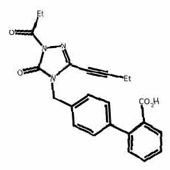 CCC#Cc1nn(C(=O)CC)c(=O)n1Cc1ccc(-c2ccccc2C(=O)O)cc1